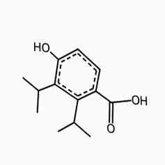 CC(C)c1c(O)ccc(C(=O)O)c1C(C)C